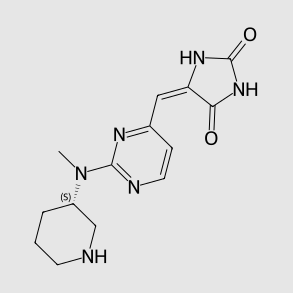 CN(c1nccc(C=C2NC(=O)NC2=O)n1)[C@H]1CCCNC1